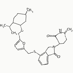 C=C1CCC(N2Cc3c(SCc4ccc(COC5CC(C)CCC5C(C)C)o4)cccc3C2=O)C(=O)N1